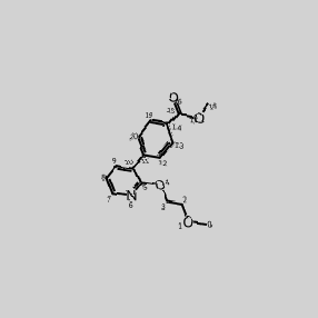 COCCOc1ncccc1-c1ccc(C(=O)OC)cc1